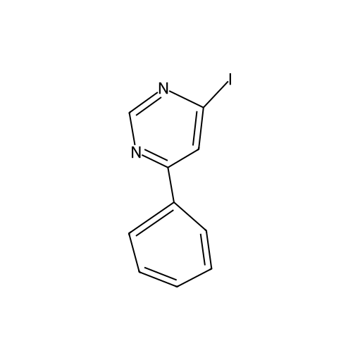 Ic1cc(-c2ccccc2)ncn1